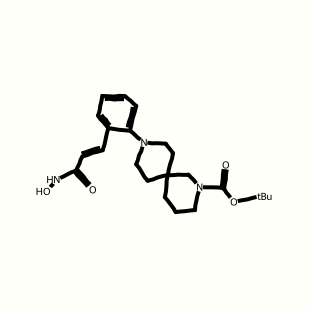 CC(C)(C)OC(=O)N1CCCC2(CCN(c3ccccc3/C=C/C(=O)NO)CC2)C1